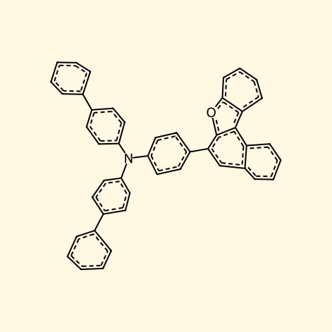 c1ccc(-c2ccc(N(c3ccc(-c4ccccc4)cc3)c3ccc(-c4cc5ccccc5c5c4oc4ccccc45)cc3)cc2)cc1